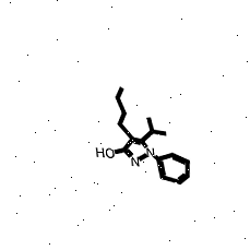 CCCCc1c(O)nn(-c2ccccc2)c1C(C)C